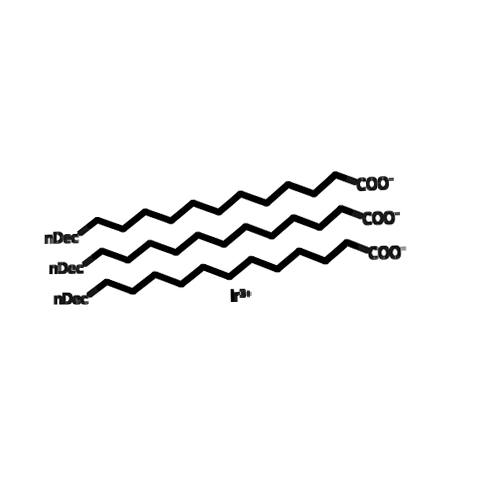 CCCCCCCCCCCCCCCCCCCCCC(=O)[O-].CCCCCCCCCCCCCCCCCCCCCC(=O)[O-].CCCCCCCCCCCCCCCCCCCCCC(=O)[O-].[Ir+3]